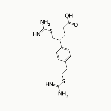 N=C(N)SCCc1ccc([C@@H](CCC(=O)O)CSC(=N)N)cc1